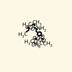 CCCC(=O)OC(C)[C@H](C)OC(=O)[C@@H](N)Cc1ccc(OC(=O)OC(C)C)c(OC(=O)OC(C)C)c1